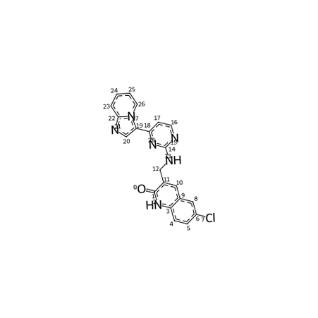 O=c1[nH]c2ccc(Cl)cc2cc1CNc1nccc(-c2cnc3ccccn23)n1